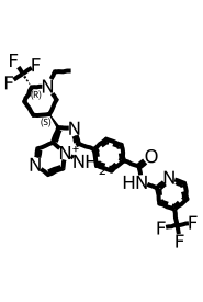 CCN1C[C@@H](C2=C3C=NC=C[N+]3(N)C(c3ccc(C(=O)Nc4cc(C(F)(F)F)ccn4)cc3)=N2)CC[C@@H]1C(F)(F)F